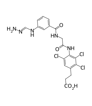 NN=CNc1cccc(C(=O)NCC(=O)Nc2c(Cl)cc(CCC(=O)O)c(Cl)c2Cl)c1